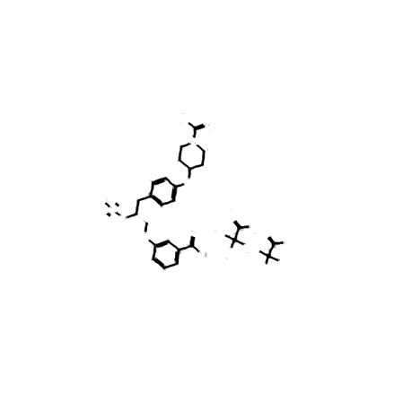 CCS(=O)(=O)N[C@H](COc1cccc(C(=N)N)c1)Cc1ccc(OC2CCN(C(C)=N)CC2)cc1.O=C(O)C(F)(F)F.O=C(O)C(F)(F)F